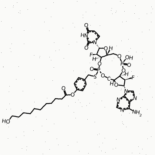 Nc1ncnc2c1ncn2[C@@H]1O[C@@H]2COP(=O)(SCc3ccc(OC(=O)CCCCCCCCCCO)cc3)O[C@H]3[C@@H](F)[C@H](n4ccc(=O)[nH]c4=O)O[C@@H]3COP(=O)(O)O[C@H]2[C@H]1F